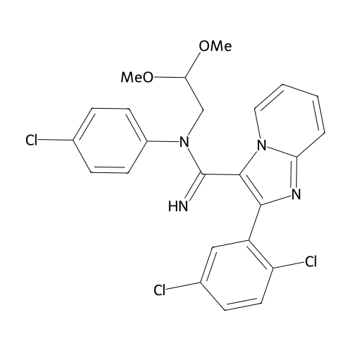 COC(CN(C(=N)c1c(-c2cc(Cl)ccc2Cl)nc2ccccn12)c1ccc(Cl)cc1)OC